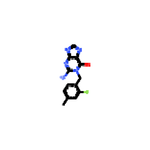 Cc1ccc(Cn2c(N)nc3[nH]cnc3c2=O)c(F)c1